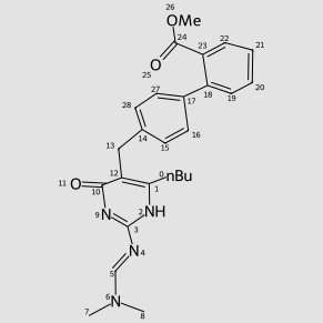 CCCCc1[nH]c(/N=C/N(C)C)nc(=O)c1Cc1ccc(-c2ccccc2C(=O)OC)cc1